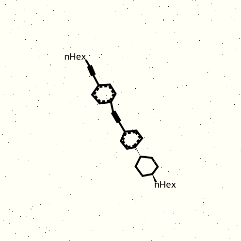 CCCCCCC#Cc1ccc(C#Cc2ccc([C@H]3CC[C@H](CCCCCC)CC3)cc2)cc1